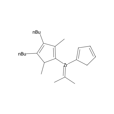 CCCCC1=C(CCCC)C(C)[C]([Zr]([C]2=CC=CC2)=[C](C)C)=C1C